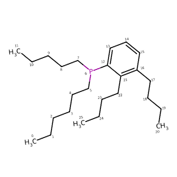 CCCCCCP(CCCCC)c1cccc(CCCC)c1CCCC